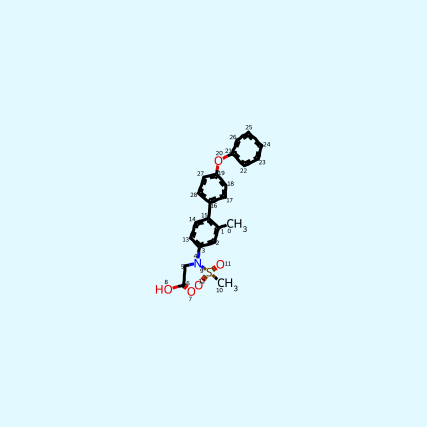 Cc1cc(N(CC(=O)O)S(C)(=O)=O)ccc1-c1ccc(Oc2ccccc2)cc1